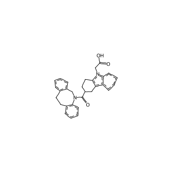 O=C(O)Cn1c2c(c3ccccc31)CC(C(=O)N1Cc3ccccc3CCc3ccccc31)CC2